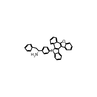 N[C@H](Cc1ccccc1)c1ccc(-n2c3ccccc3c3c4c5ccccc5oc4c4ccccc4c32)cc1